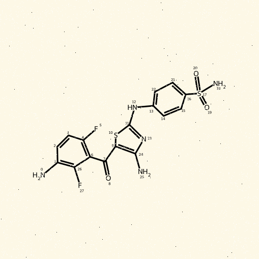 Nc1ccc(F)c(C(=O)c2sc(Nc3ccc(S(N)(=O)=O)cc3)nc2N)c1F